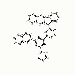 c1ccc(-c2nc(-c3cccc(-n4c5ccccc5c5cc6ccccc6cc54)c3)nc(-c3ccc4ccccc4c3)n2)cc1